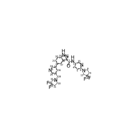 O=C(Nc1ccc(N2CCC(F)(F)C2)nc1)c1n[nH]c2ccc(-c3cncc(CN4CCC(F)(F)C4)c3)cc12